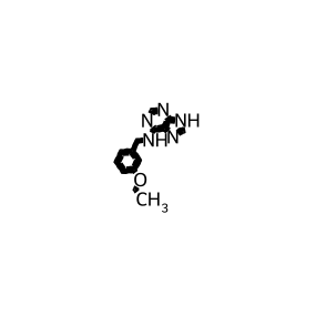 CCOc1cccc(CNc2ncnc3[nH]cnc23)c1